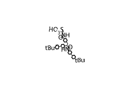 CC(C)(C)c1ccc(-c2ccc(NC(=O)C(Cc3ccc(C(=O)NCCS(=O)(=O)O)cc3)c3ccc(-c4ccc(C(C)(C)C)cc4)cc3)cc2)cc1